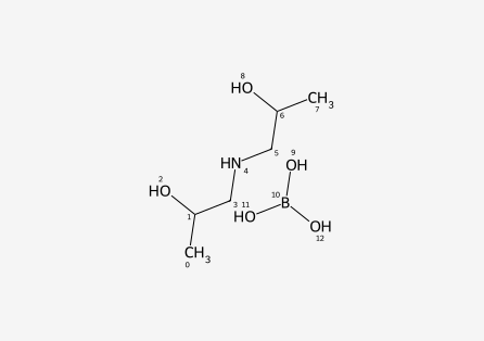 CC(O)CNCC(C)O.OB(O)O